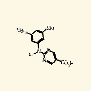 CCN(c1cc(C(C)(C)C)cc(C(C)(C)C)c1)c1ncc(C(=O)O)cn1